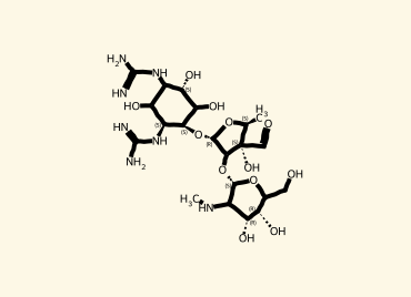 CNC1[C@H](OC2[C@H](O[C@@H]3C(O)[C@@H](O)C(NC(=N)N)C(O)[C@@H]3NC(=N)N)O[C@@H](C)[C@@]2(O)C=O)OC(CO)[C@H](O)[C@@H]1O